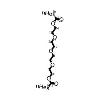 CCCCCCC(=O)OCCOCCOCCOCCOC(=O)CCCCCC